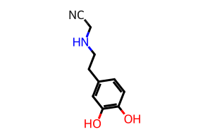 N#CCNCCc1ccc(O)c(O)c1